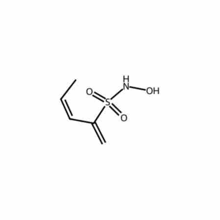 C=C(/C=C\C)S(=O)(=O)NO